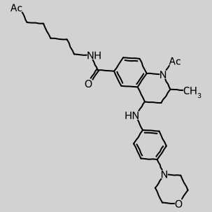 CC(=O)CCCCCNC(=O)c1ccc2c(c1)C(Nc1ccc(N3CCOCC3)cc1)CC(C)N2C(C)=O